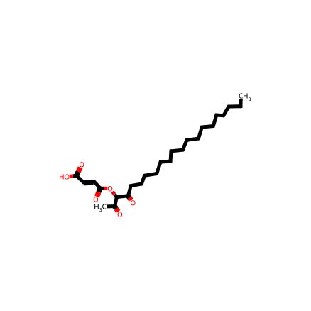 CCCCCCCCCCCCCCCCCC(=O)C(OC(=O)C=CC(=O)O)C(C)=O